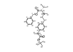 CC(C)[C@@H](C(=O)OCc1ccccc1)N(C)CCc1ccc(N(C)C(=O)OC(C)(C)C)cc1